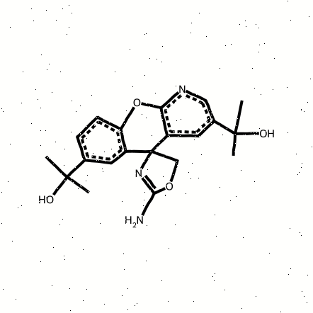 CC(C)(O)c1ccc2c(c1)C1(COC(N)=N1)c1cc(C(C)(C)O)cnc1O2